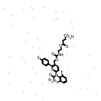 NC(=O)N(c1ccc(COC(=O)NCCOC(=O)CCC(=O)O)c(-c2ccc(F)cc2)n1)c1c(F)cccc1F